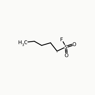 CCCC[CH]S(=O)(=O)F